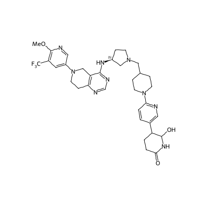 COc1ncc(N2CCc3ncnc(N[C@H]4CCN(CC5CCN(c6ccc(C7CCC(=O)NC7O)cn6)CC5)C4)c3C2)cc1C(F)(F)F